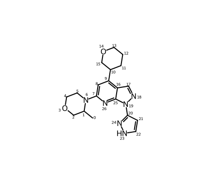 CC1COCCN1c1cc(C2CCCOC2)c2cnn(-c3cc[nH]n3)c2n1